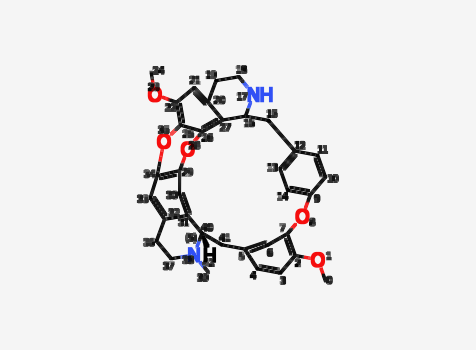 COc1ccc2cc1Oc1ccc(cc1)CC1NCCc3cc(OC)c4c(c31)Oc1cc3c(cc1O4)CCN(C)[C@H]3C2